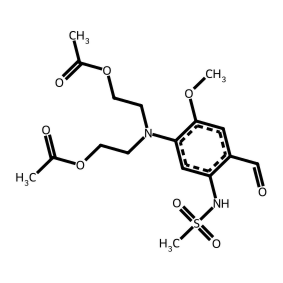 COc1cc(C=O)c(NS(C)(=O)=O)cc1N(CCOC(C)=O)CCOC(C)=O